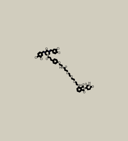 O=C(CCOCCOCCOCCNc1cccc2c1C(=O)N(C1CCC(=O)NC1=O)C2=O)NCCOc1ccc(CCC(=O)N2C/C(=C\c3ccc(Cl)c(Cl)c3)C(=O)/C(=C/c3ccc(Cl)c(Cl)c3)C2)cc1